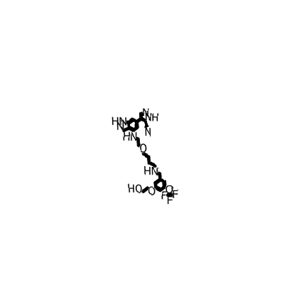 N#Cc1[nH]ncc1-c1cc(NCCOCCCCNCc2cc(OCCO)cc(OC(F)(F)F)c2)c2cn[nH]c2c1